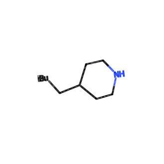 CCC(C)CC1CCNCC1